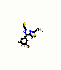 Cc1nc(C(N=CC=S)c2cccc(Br)c2)cs1